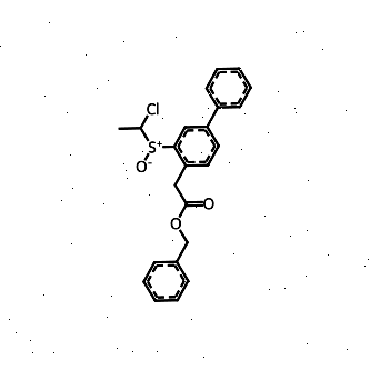 CC(Cl)[S+]([O-])c1cc(-c2ccccc2)ccc1CC(=O)OCc1ccccc1